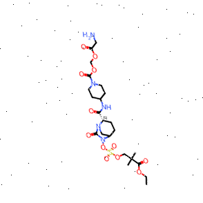 CCOC(=O)C(C)(C)COS(=O)(=O)ON1C(=O)N2CC1CC[C@H]2C(=O)NC1CCN(C(=O)OCOC(=O)CN)CC1